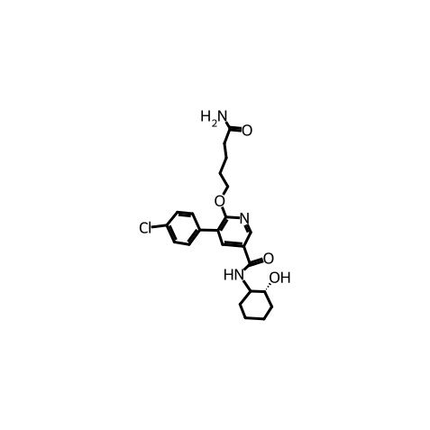 NC(=O)CCCCOc1ncc(C(=O)NC2CCCC[C@H]2O)cc1-c1ccc(Cl)cc1